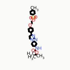 Cc1ccc(S(=O)(=O)OCCOc2ccc(-c3ccn4c(n3)nc3cc(NC(=O)OC(C)(C)C)ccc34)cc2)cc1